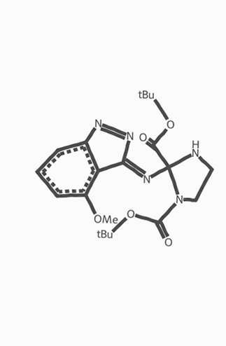 COc1cccc2c1C(=NC1(C(=O)OC(C)(C)C)NCCN1C(=O)OC(C)(C)C)N=N2